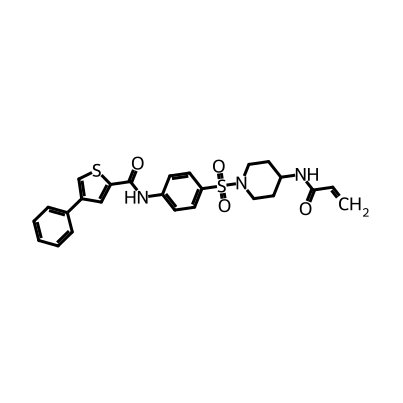 C=CC(=O)NC1CCN(S(=O)(=O)c2ccc(NC(=O)c3cc(-c4ccccc4)cs3)cc2)CC1